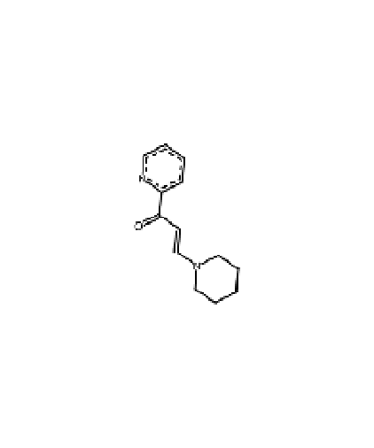 O=C(C=CN1CCCCC1)c1ccccn1